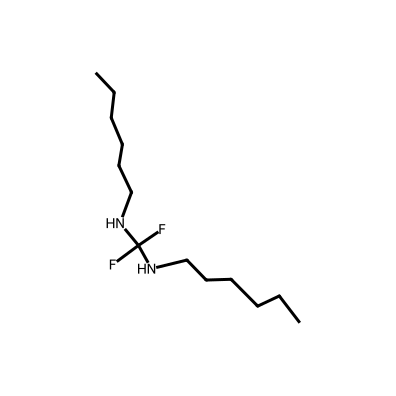 CCCCCCNC(F)(F)NCCCCCC